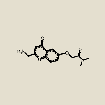 CN(C)C(=O)COc1ccc2oc(CN)cc(=O)c2c1